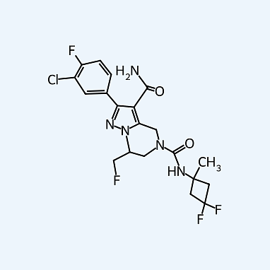 CC1(NC(=O)N2Cc3c(C(N)=O)c(-c4ccc(F)c(Cl)c4)nn3C(CF)C2)CC(F)(F)C1